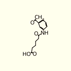 CC(=O)c1cccc(NC(=O)CCCCC(=O)O)c1